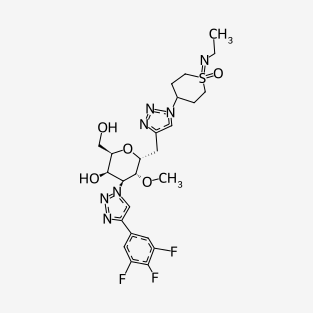 CCN=S1(=O)CCC(n2cc(C[C@H]3O[C@H](CO)[C@H](O)[C@H](n4cc(-c5cc(F)c(F)c(F)c5)nn4)[C@H]3OC)nn2)CC1